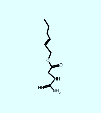 CCC/C=C/COC(=O)CNC(=N)N